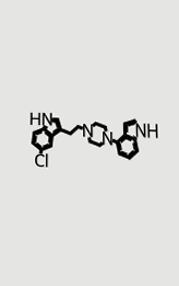 Clc1ccc2[nH]cc(CCN3CCN(c4cccc5[nH]ccc45)CC3)c2c1